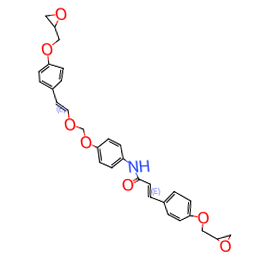 O=C(/C=C/c1ccc(OCC2CO2)cc1)Nc1ccc(OCO/C=C/c2ccc(OCC3CO3)cc2)cc1